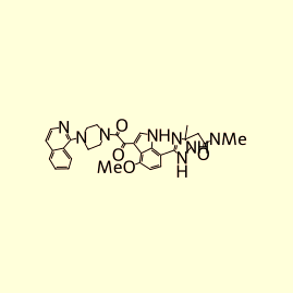 CNC(=O)CC1(C)N=C(c2ccc(OC)c3c(C(=O)C(=O)N4CCN(c5nccc6ccccc56)CC4)c[nH]c23)NN1